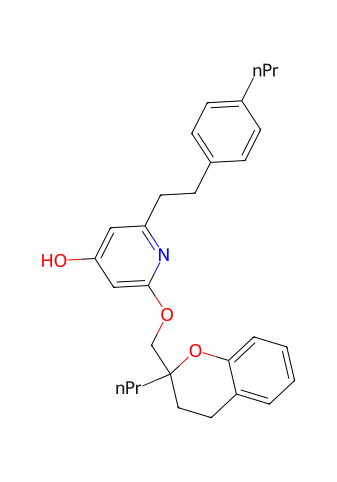 CCCc1ccc(CCc2cc(O)cc(OCC3(CCC)CCc4ccccc4O3)n2)cc1